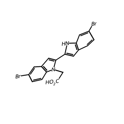 O=C(O)Cn1c(-c2cc3ccc(Br)cc3[nH]2)cc2cc(Br)ccc21